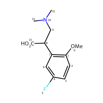 COc1ccc(F)cc1C(CN(C)C)C(=O)O